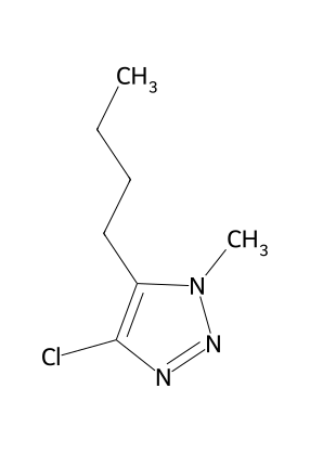 CCCCc1c(Cl)nnn1C